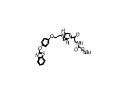 CC(C)(C)OC(=O)NCC(=O)N1C[C@@H]2C[C@H]1CN2CCOc1ccc(Oc2nc3ccccc3s2)cc1